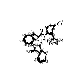 O=C(Nc1ccc(Cl)cc1-c1nnn[nH]1)c1cc2cccc(N3C(=O)c4ccccc4C3=O)c2[nH]1